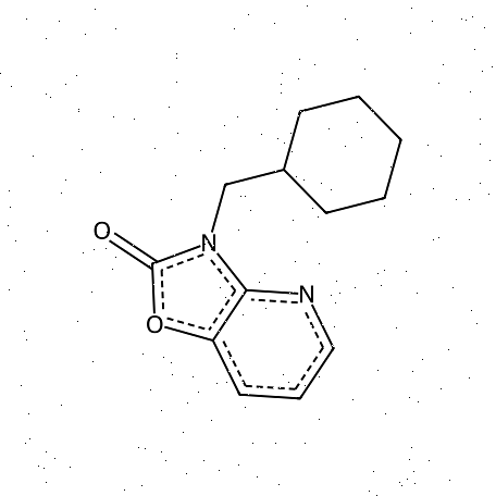 O=c1oc2cccnc2n1CC1CCCCC1